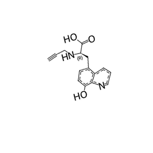 C#CCN[C@H](Cc1ccc(O)c2ncccc12)C(=O)O